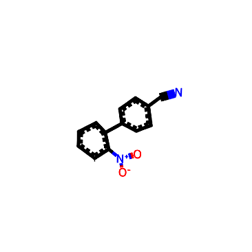 N#Cc1ccc(-c2ccc[c]c2[N+](=O)[O-])cc1